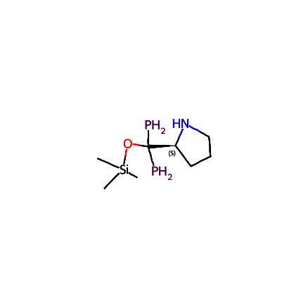 C[Si](C)(C)OC(P)(P)[C@@H]1CCCN1